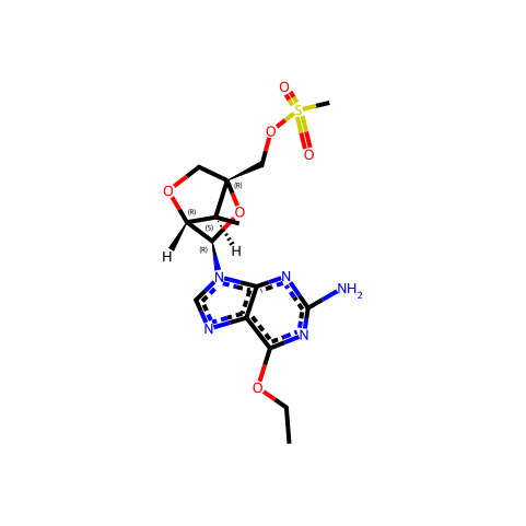 CCOc1nc(N)nc2c1ncn2[C@@H]1O[C@@]2(COS(C)(=O)=O)CO[C@@H]1[C@@H]2C